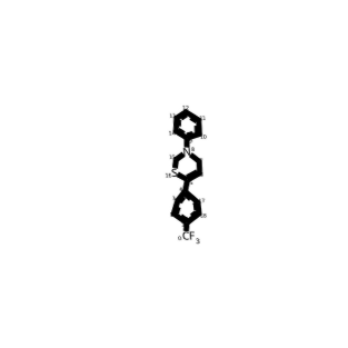 FC(F)(F)c1ccc(C2=CCN(c3ccccc3)CS2)cc1